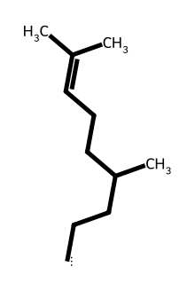 [C]CCC(C)CCC=C(C)C